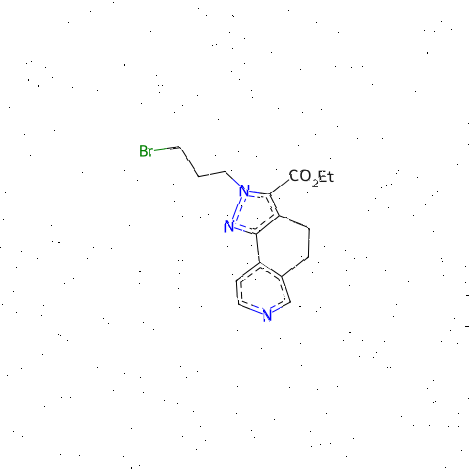 CCOC(=O)c1c2c(nn1CCCBr)-c1ccncc1CC2